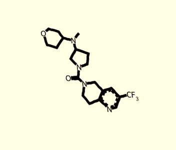 CN(C1CCOCC1)C1CCN(C(=O)N2CCc3ncc(C(F)(F)F)cc3C2)C1